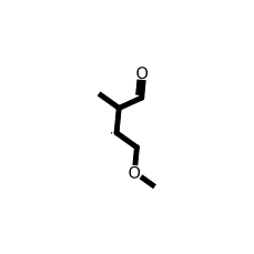 COC[CH]C(C)C=O